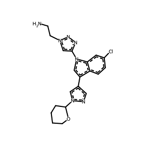 NCCn1cc(-n2cc(-c3cnn(C4CCCCO4)c3)c3ccc(Cl)cc32)nn1